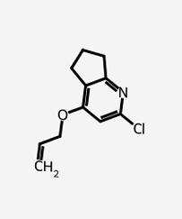 C=CCOc1cc(Cl)nc2c1CCC2